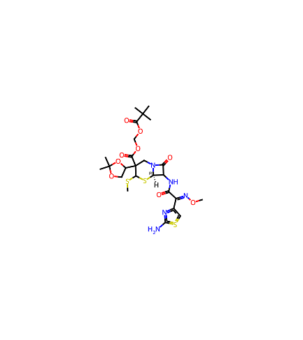 CON=C(C(=O)NC1C(=O)N2CC(C(=O)OCOC(=O)C(C)(C)C)(C3COC(C)(C)O3)C(SC)S[C@H]12)c1csc(N)n1